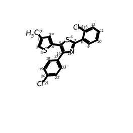 Cc1csc(-c2sc(-c3ccccc3Cl)nc2-c2ccc(Cl)cc2)c1